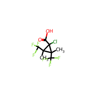 CC1(C(F)(F)F)C(Cl)(C(=O)O)C1(C)C(F)(F)F